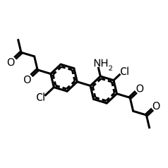 CC(=O)CC(=O)c1ccc(-c2ccc(C(=O)CC(C)=O)c(Cl)c2N)cc1Cl